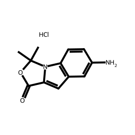 CC1(C)OC(=O)c2cc3cc(N)ccc3n21.Cl